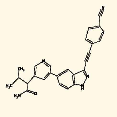 CC(C)C(C(N)=O)c1cncc(-c2ccc3[nH]nc(C#Cc4ccc(C#N)cc4)c3c2)c1